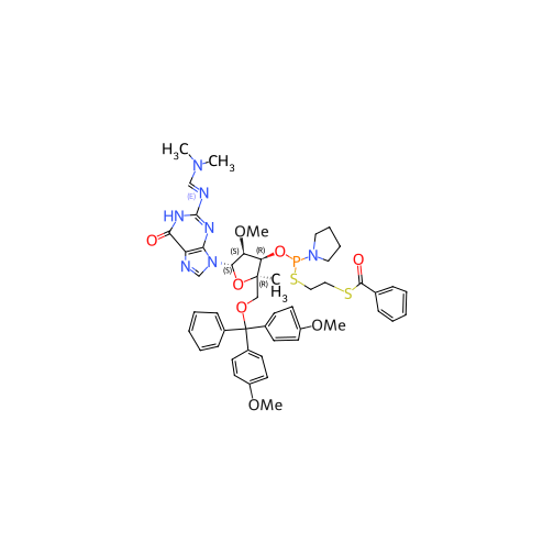 COc1ccc(C(OC[C@@]2(C)O[C@H](n3cnc4c(=O)[nH]c(/N=C/N(C)C)nc43)[C@@H](OC)[C@H]2OP(SCCSC(=O)c2ccccc2)N2CCCC2)(c2ccccc2)c2ccc(OC)cc2)cc1